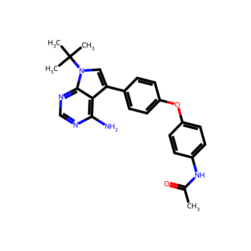 CC(=O)Nc1ccc(Oc2ccc(-c3cn(C(C)(C)C)c4ncnc(N)c34)cc2)cc1